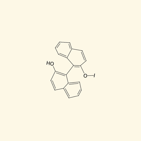 Oc1ccc2ccccc2c1-c1c(OI)ccc2ccccc12